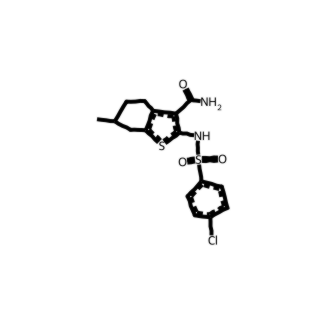 CC1CCc2c(sc(NS(=O)(=O)c3ccc(Cl)cc3)c2C(N)=O)C1